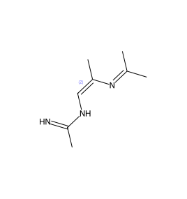 CC(=N)N/C=C(/C)N=C(C)C